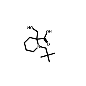 CC(C)(C)CN1CCCCC1(CO)C(=O)O